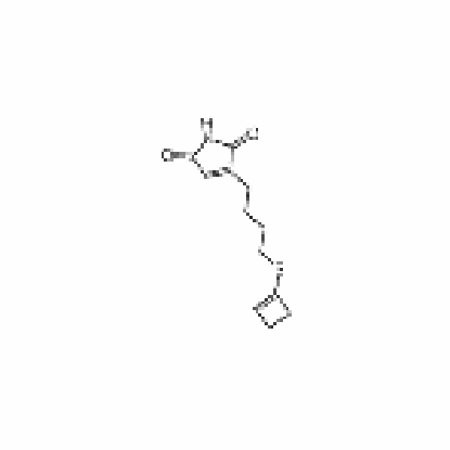 O=C1C=C(CCCCSC2=CCC2)C(=O)N1